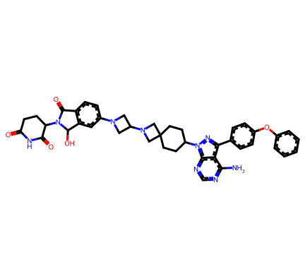 Nc1ncnc2c1c(-c1ccc(Oc3ccccc3)cc1)nn2C1CCC2(CC1)CN(C1CN(c3ccc4c(c3)C(O)N(C3CCC(=O)NC3=O)C4=O)C1)C2